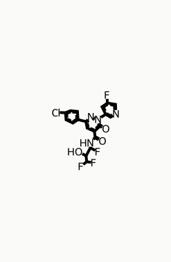 O=C(NC(F)C(O)C(F)F)c1cc(-c2ccc(Cl)cc2)nn(-c2cncc(F)c2)c1=O